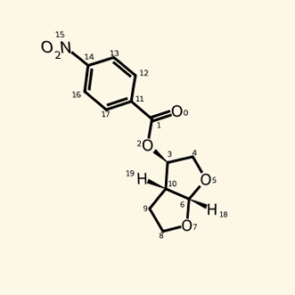 O=C(O[C@H]1CO[C@@H]2OCC[C@@H]21)c1ccc([N+](=O)[O-])cc1